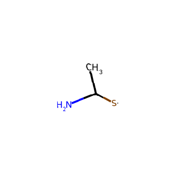 CC(N)[S]